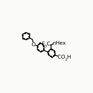 CCCCCCC(c1cc(C(=O)O)ccc1-c1ccc(OCc2ccccc2)cc1)C(F)(F)F